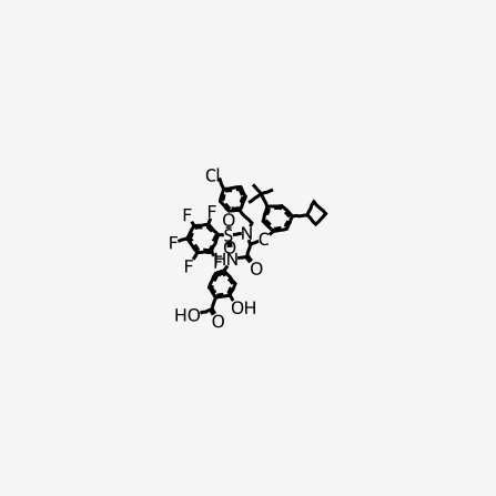 CC(C)(C)c1cc(CC(C(=O)Nc2ccc(C(=O)O)c(O)c2)N(Cc2ccc(Cl)cc2)S(=O)(=O)c2c(F)c(F)c(F)c(F)c2F)cc(C2CCC2)c1